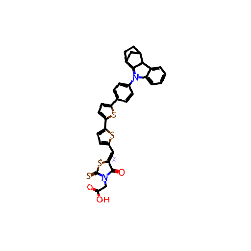 O=C(O)CN1C(=O)/C(=C/c2ccc(-c3ccc(-c4ccc(N5c6ccccc6C6C7CCC(C7)C65)cc4)s3)s2)SC1=S